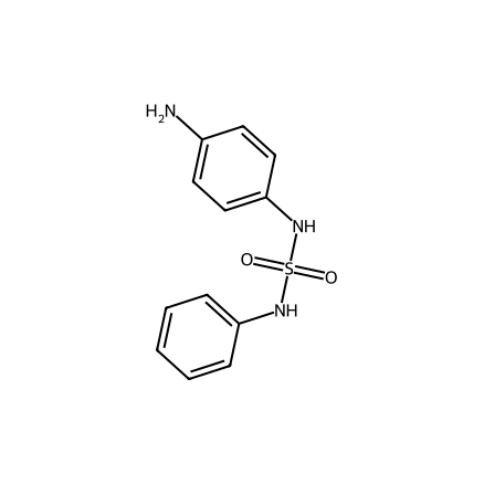 Nc1ccc(NS(=O)(=O)Nc2ccccc2)cc1